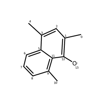 Cc1cc(C)c2cccc(C)c2c1[O]